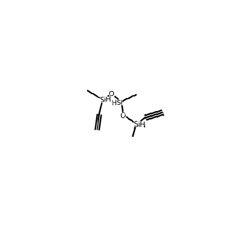 C#C[SiH](C)O[SiH](C)O[SiH](C)C#C